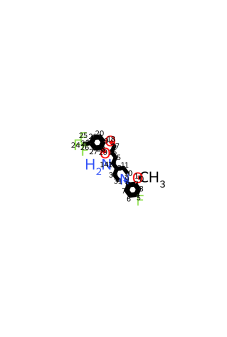 COc1cc(F)ccc1N1CCC([C@@H](N)CC2COc3ccc(C(F)(F)F)cc3O2)CC1